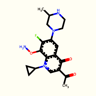 CC(=O)c1cn(C2CC2)c2c(ON)c(F)c(N3CCNC(C)C3)cc2c1=O